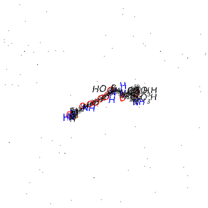 CCN1C(=O)N[C@H]2CS[C@@H](CCCCC(=O)NCCOCCOCCOCCOCCC(=O)N[C@@H](CCCCNC(=O)c3ccc(-c4c5ccc(=N)c(S(=O)(=O)O)c-5oc5c(S(=O)(=O)O)c(C)ccc45)c(C(=O)O)c3)C(=O)O)[C@H]21